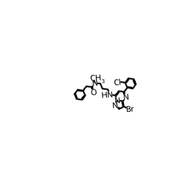 CN(CCCNc1cc(-c2ccccc2Cl)nc2c(Br)cnn12)C(=O)Cc1ccccc1